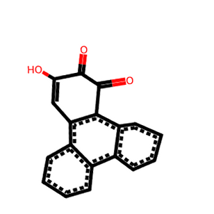 O=C1C(=O)c2c(c3ccccc3c3ccccc23)C=C1O